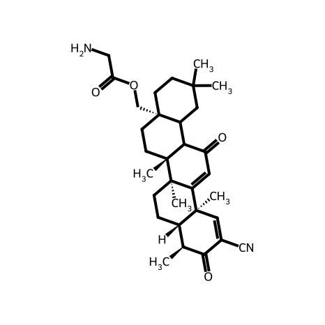 C[C@@H]1C(=O)C(C#N)=C[C@]2(C)C3=CC(=O)C4C5CC(C)(C)CC[C@]5(COC(=O)CN)CC[C@@]4(C)[C@]3(C)CC[C@@H]12